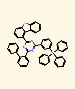 c1ccc(-c2ccccc2-c2nc(-c3cccc([Si](c4ccccc4)(c4ccccc4)c4ccccc4)c3)nc(-c3cccc4oc5ccccc5c34)n2)cc1